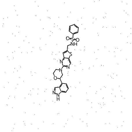 O=S(=O)(NCc1cc2nc(N3CCOC(c4cccc5[nH]ncc45)C3)ncc2s1)c1ccccc1